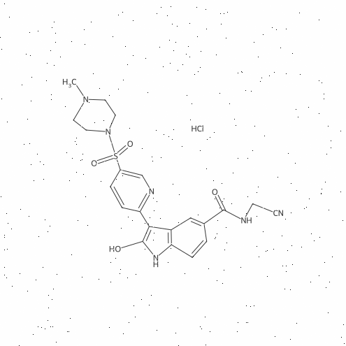 CN1CCN(S(=O)(=O)c2ccc(-c3c(O)[nH]c4ccc(C(=O)NCC#N)cc34)nc2)CC1.Cl